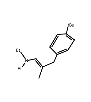 CCN(C=C(C)Cc1ccc(C(C)(C)C)cc1)CC